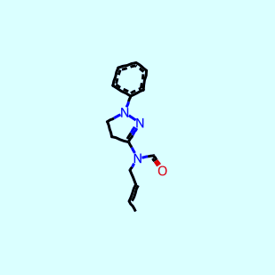 CC=CCN(C=O)C1=NN(c2ccccc2)CC1